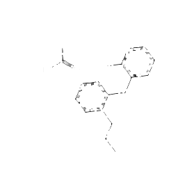 CCCc1ccccc1Cc1ccccc1O.O=C(O)O